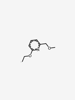 [CH2]COc1cccc(COC)n1